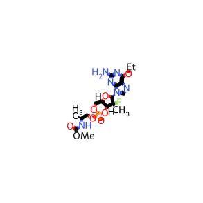 CCOc1nc(N)nc2c1ncn2[C@@H]1O[C@@H]2COP(=O)(OC[C@H](C)NC(=O)OC)O[C@H]2[C@@]1(C)F